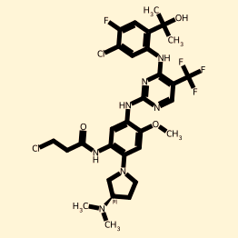 COc1cc(N2CC[C@@H](N(C)C)C2)c(NC(=O)CCCl)cc1Nc1ncc(C(F)(F)F)c(Nc2cc(Cl)c(F)cc2C(C)(C)O)n1